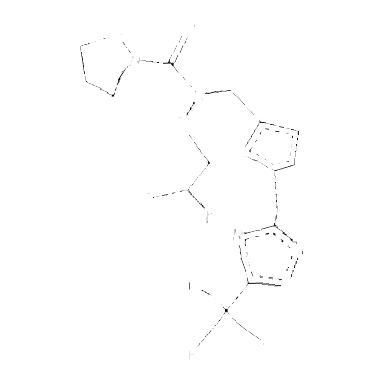 O=C(N1CCCO1)N(Cc1ccc(-c2noc(C(F)(F)F)n2)s1)OCC(F)F